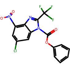 O=C(Oc1ccccc1)n1c(C(F)(F)F)nc2c([N+](=O)[O-])cc(Cl)cc21